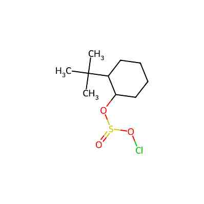 CC(C)(C)C1CCCCC1OS(=O)OCl